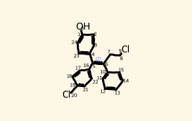 Oc1ccc(/C(=C(\CCCl)c2ccccc2)c2ccc(Cl)cc2)cc1